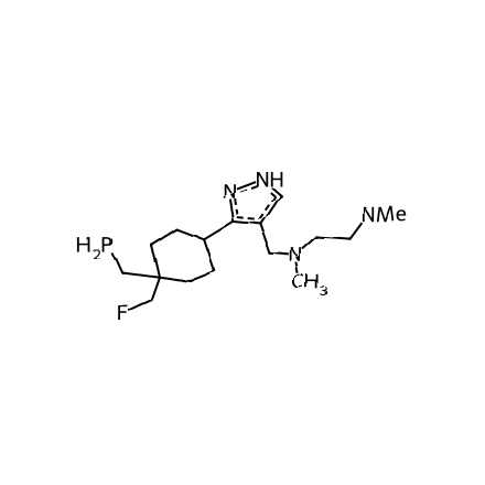 CNCCN(C)Cc1c[nH]nc1C1CCC(CF)(CP)CC1